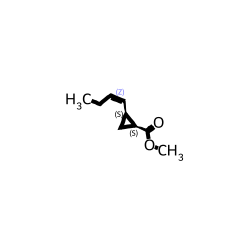 CC/C=C\[C@@H]1C[C@@H]1C(=O)OC